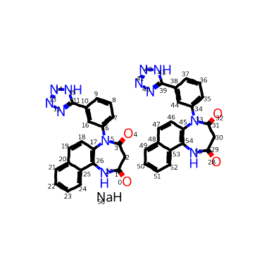 O=C1CC(=O)N(c2cccc(-c3nnn[nH]3)c2)c2ccc3ccccc3c2N1.O=C1CC(=O)N(c2cccc(-c3nnn[nH]3)c2)c2ccc3ccccc3c2N1.[NaH]